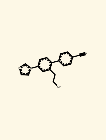 N#Cc1ccc(-c2ccc(-n3ccnc3)cc2CCO)cc1